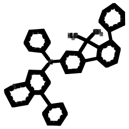 CC1(C)c2cc(N(c3ccccc3)c3cc(-c4ccccc4)c4ccccc4c3)ccc2-c2cccc(-c3ccccc3)c21